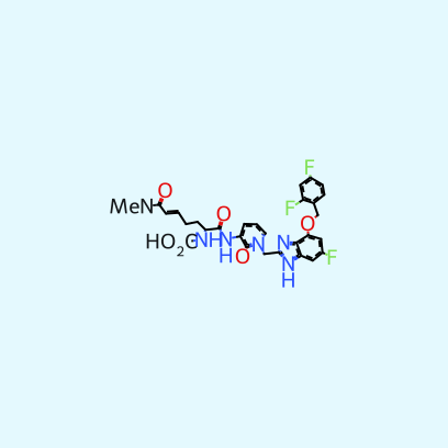 CNC(=O)C=CCCC(NC(=O)O)C(=O)Nc1cccn(Cc2nc3c(OCc4ccc(F)cc4F)cc(F)cc3[nH]2)c1=O